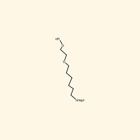 CCCCCCCCCCCCCOCCOCCC